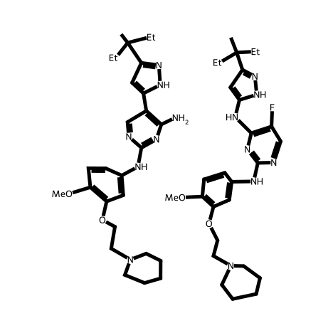 CCC(C)(CC)c1cc(-c2cnc(Nc3ccc(OC)c(OCCN4CCCCC4)c3)nc2N)[nH]n1.CCC(C)(CC)c1cc(Nc2nc(Nc3ccc(OC)c(OCCN4CCCCC4)c3)ncc2F)[nH]n1